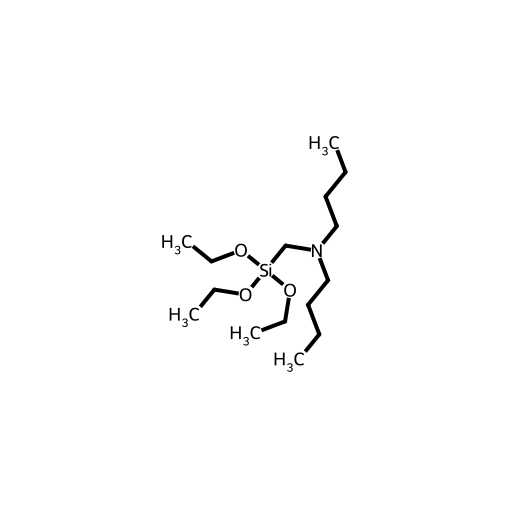 CCCCN(CCCC)C[Si](OCC)(OCC)OCC